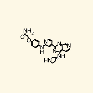 NC(=O)COc1ccc(Nc2cc(-c3nc(N[C@@H]4CCNC4)c4ccncc4n3)ccn2)cc1